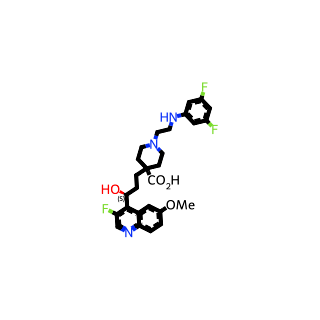 COc1ccc2ncc(F)c([C@@H](O)CCC3(C(=O)O)CCN(CCNc4cc(F)cc(F)c4)CC3)c2c1